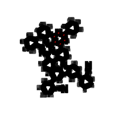 N#Cc1ccccc1-c1ccc2c(c1)c1cc(-c3ccccc3C#N)ccc1n2-c1ccc(-c2nc(-c3ccccc3)nc(-c3ccccc3)n2)cc1-c1ncccc1-c1nc(-c2ccccc2)nc(-c2ccccc2)n1